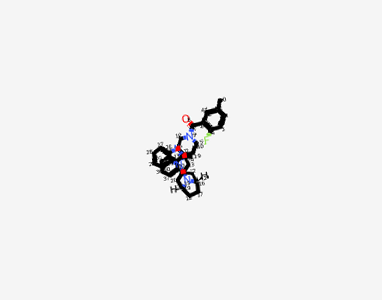 Cc1ccc(F)c(C(=O)N2CCC(CCN3[C@@H]4CC[C@H]3CC(n3c(C)nc5ccccc53)C4)(c3ccccc3)CC2)c1